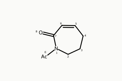 CC(=O)N1CCCC=CC1=O